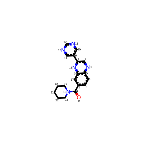 O=C(c1ccc2ncc(-c3cncnc3)nc2c1)N1CCCCC1